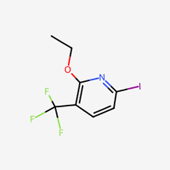 CCOc1nc(I)ccc1C(F)(F)F